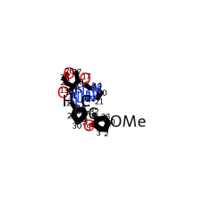 COc1ccc(Oc2ccc(CNC(=O)C3(NC(=O)c4nccn4C)CCOCC3)cc2)c(C(F)(F)F)c1